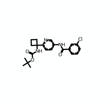 CC(C)(C)OC(=O)NC1(c2ccc(NC(=O)c3cccc(Cl)c3)cn2)CCC1